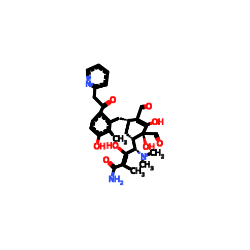 C/C(C(N)=O)=C(/O)[C@H]([C@@H]1C[C@H](Cc2c(C(=O)Cc3ccccn3)ccc(O)c2C)C(C=O)=C(O)[C@]1(O)C=O)N(C)C